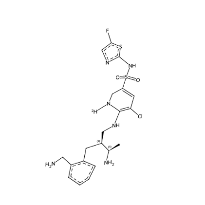 [2H]N1CC(S(=O)(=O)Nc2ncc(F)s2)=CC(Cl)=C1NC[C@H](Cc1ccccc1CN)[C@@H](C)N